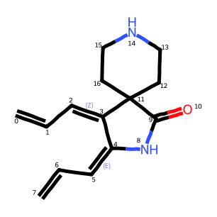 C=C/C=C1\C(=C/C=C)NC(=O)C12CCNCC2